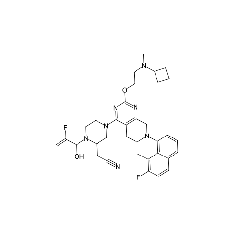 C=C(F)C(O)N1CCN(c2nc(OCCN(C)C3CCC3)nc3c2CCN(c2cccc4ccc(F)c(C)c24)C3)CC1CC#N